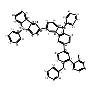 Cc1ccccc1-c1cc(-c2ccc3c(c2)c2cc(-c4ccc5c(c4)c4ccccc4n5-c4ccccc4)ccc2n3-c2ccccc2)ccc1Cc1ccccc1